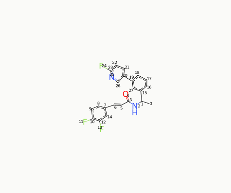 CC(NC(=O)C=Cc1ccc(F)c(F)c1)c1cccc(-c2ccc(F)nc2)c1